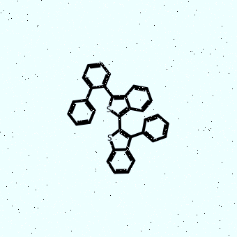 c1ccc(-c2ccccc2-c2sc(-c3sc4ccccc4c3-c3ccccc3)c3ccccc23)cc1